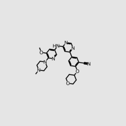 COc1cc(Nc2cc(-c3ccc(OC4CCOCC4)c(C#N)c3)ncn2)cnc1N1CCN(C)CC1